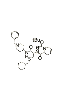 CC(C)(C)OC(=O)N1CC=CCC1C(=O)N[C@@H](CSCC1CCCCC1)C(=O)NC1CCN(Cc2ccccc2)CC1